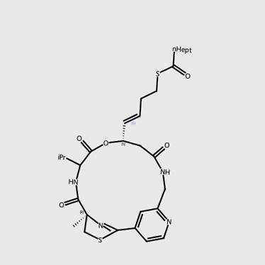 CCCCCCCC(=O)SCC/C=C/[C@@H]1CC(=O)NCc2cc(ccn2)C2=N[C@@](C)(CS2)C(=O)NC(C(C)C)C(=O)O1